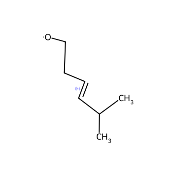 CC(C)/C=C/CC[O]